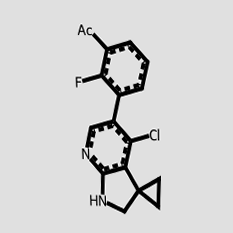 CC(=O)c1cccc(-c2cnc3c(c2Cl)C2(CC2)CN3)c1F